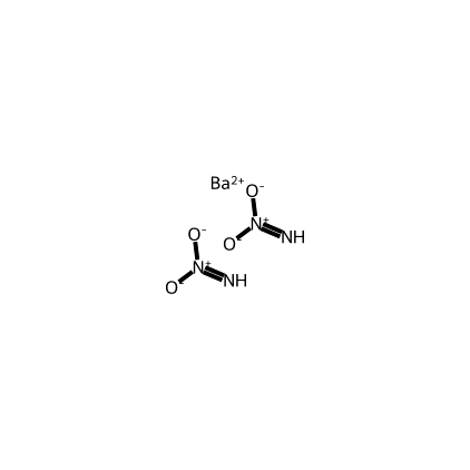 N=[N+]([O-])[O-].N=[N+]([O-])[O-].[Ba+2]